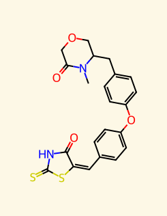 CN1C(=O)COCC1Cc1ccc(Oc2ccc(C=C3SC(=S)NC3=O)cc2)cc1